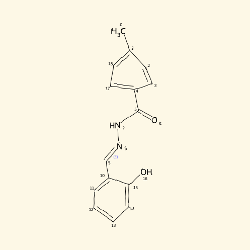 Cc1ccc(C(=O)N/N=C/c2ccccc2O)cc1